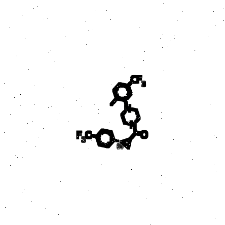 Cc1ccc(C(F)(F)F)cc1N1CCN(C(=O)C2C[C@@H]2c2ccc(C(F)(F)F)cc2)CC1